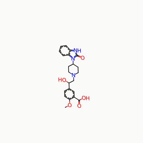 COc1ccc(C(O)CN2CCC(n3c(=O)[nH]c4ccccc43)CC2)cc1C(=O)O